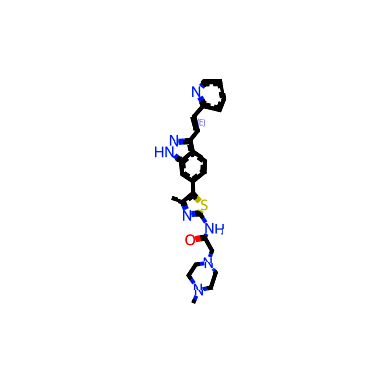 Cc1nc(NC(=O)CN2CCN(C)CC2)sc1-c1ccc2c(/C=C/c3ccccn3)n[nH]c2c1